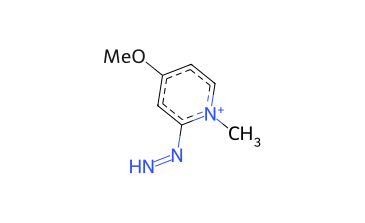 COc1cc[n+](C)c(N=N)c1